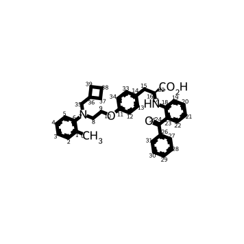 Cc1ccccc1N(CCOc1ccc(C[C@H](Nc2ccccc2C(=O)c2ccccc2)C(=O)O)cc1)CC1CCC1